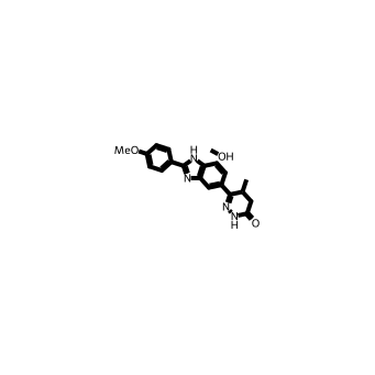 CO.COc1ccc(-c2nc3cc(C4=NNC(=O)CC4C)ccc3[nH]2)cc1